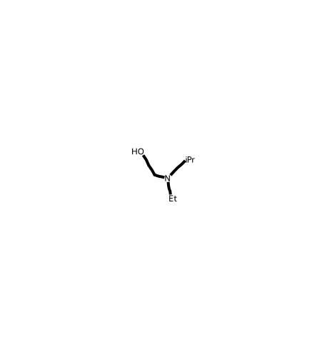 CCN(CO)C(C)C